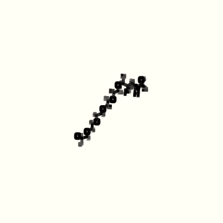 CC(=O)COCCOCCOCCOCCOC(C)C(F)CNC(C)=O